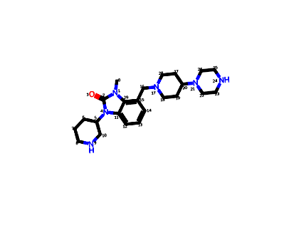 Cn1c(=O)n(C2CCCNC2)c2cccc(CN3CCC(N4CCNCC4)CC3)c21